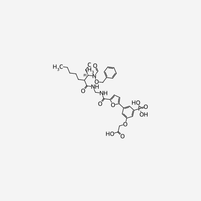 CCCCCC(C(=O)NCNC(=O)c1ccc(-c2cc(OCC(=O)O)cc(P(=O)(O)O)c2)o1)[C@@H](CC)N(C=O)OCc1ccccc1